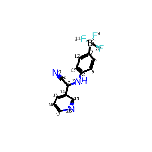 N#CC(Nc1ccc([B-](F)(F)F)cc1)c1cccnc1